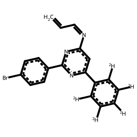 [2H]c1c([2H])c([2H])c(-c2cc(/N=C\C=C)nc(-c3ccc(Br)cc3)n2)c([2H])c1[2H]